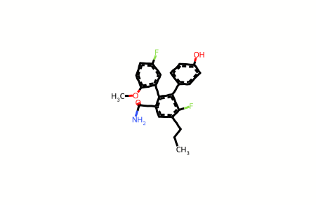 CCCc1cc(C(N)=O)c(-c2cc(F)ccc2OC)c(-c2ccc(O)cc2)c1F